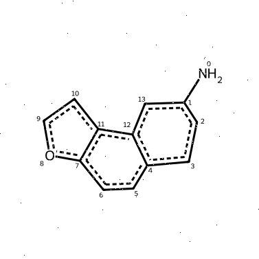 Nc1ccc2ccc3occc3c2c1